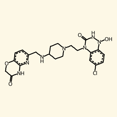 O=C1COc2ccc(CNC3CCN(CCN4C(=O)NN(O)c5ccc(Cl)cc54)CC3)nc2N1